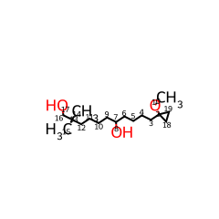 COC1(CCCCC(O)CCCCC(C)(C)CO)CC1